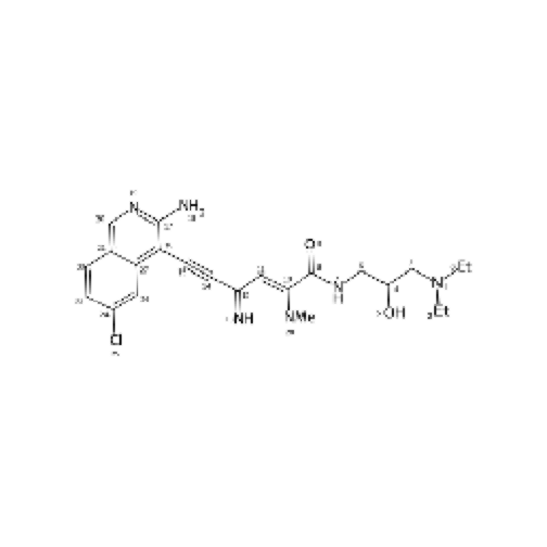 CCN(CC)CC(O)CNC(=O)/C(=C/C(=N)C#Cc1c(N)ncc2ccc(Cl)cc12)NC